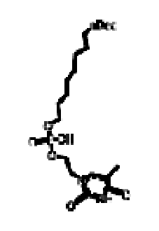 CCCCCCCCCCCCCCCCCCOP(=O)(O)OCCn1cc(C)c(=O)[nH]c1=O